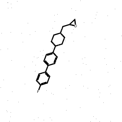 Fc1ccc(-c2ccc(C3CCC(CC4CO4)CC3)cc2)cc1